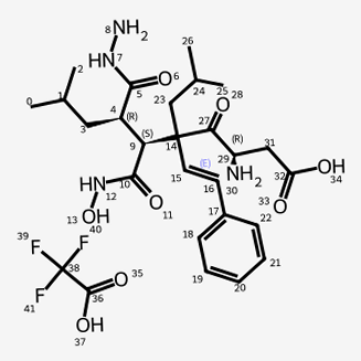 CC(C)C[C@@H](C(=O)NN)[C@H](C(=O)NO)C(/C=C/c1ccccc1)(CC(C)C)C(=O)[C@H](N)CC(=O)O.O=C(O)C(F)(F)F